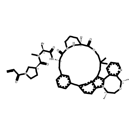 C=CC(=O)N1CC[C@H](C(=O)N(C)[C@H](C(=O)N[C@H]2Cc3cccc(c3)-c3ccc4c(c3)c(c3n4[C@@H](C)CO[C@@H](C)c4ncccc4-3)CC(C)(C)COC(=O)[C@@H]3CCCN(N3)C2=O)C(C)C)C1